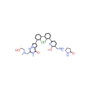 COc1nc(-c2cccc(-c3cccc(-c4cc5c(=O)n(C)c(CN(C)C[C@@H](C)O)nn5c4)c3Cl)c2Cl)ccc1CNC[C@@H]1CCC(=O)N1